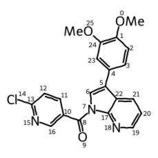 COc1ccc(-c2cn(C(=O)c3ccc(Cl)nc3)c3ncccc23)cc1OC